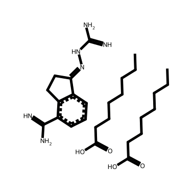 CCCCCCCC(=O)O.CCCCCCCC(=O)O.N=C(N)NN=C1CCc2c(C(=N)N)cccc21